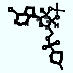 Cc1ccc(S(=O)(=O)OC[C@H]2O[C@@H](n3ccc4c(Cl)ncnc43)[C@@H]3OC(C)(C)O[C@@H]32)cc1